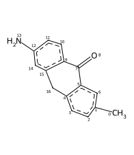 Cc1ccc2c(c1)C(=O)c1ccc(N)cc1C2